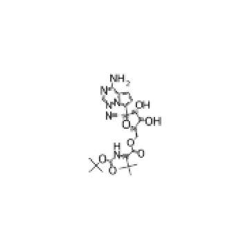 CC(C)(C)OC(=O)N[C@@H](C(=O)OC[C@H]1O[C@@](C#N)(c2ccc3c(N)ncnn23)[C@H](O)[C@@H]1O)C(C)(C)C